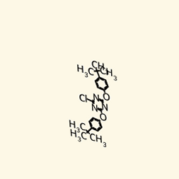 CC(C)(C)c1ccc(Oc2nc(Cl)nc(Oc3ccc(C(C)(C)C)cc3)n2)cc1